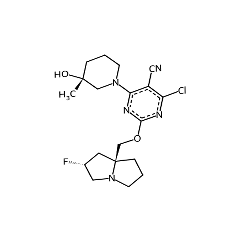 C[C@@]1(O)CCCN(c2nc(OC[C@@]34CCCN3C[C@H](F)C4)nc(Cl)c2C#N)C1